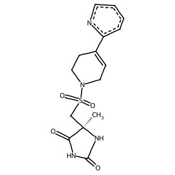 C[C@]1(CS(=O)(=O)N2CC=C(c3ccccn3)CC2)NC(=O)NC1=O